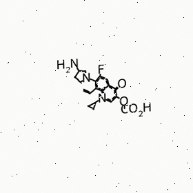 C=Cc1c(N2CCC(N)C2)c(F)cc2c(=O)c(OC(=O)O)cn(C3CC3)c12